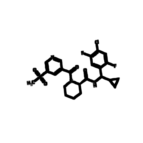 CS(=O)(=O)c1cncc(C(=O)N2CCCC[C@@H]2C(=O)NC(c2cc(F)c(Cl)cc2F)C2CC2)c1